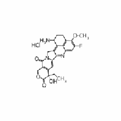 CC[C@@]1(O)C(=O)OCc2c1cc1n(c2=O)Cc2c-1nc1cc(F)c(OC)c3c1c2C(N)CC3.Cl